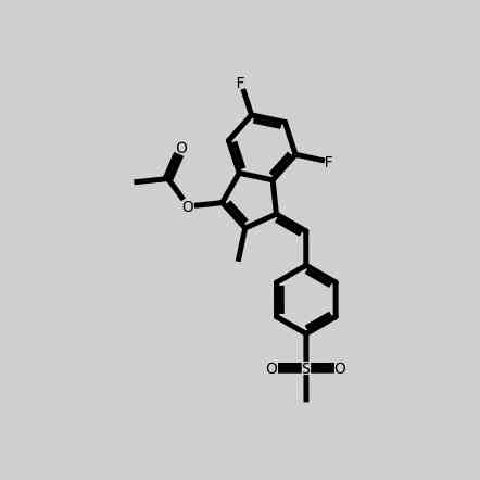 CC(=O)OC1=C(C)/C(=C\c2ccc(S(C)(=O)=O)cc2)c2c(F)cc(F)cc21